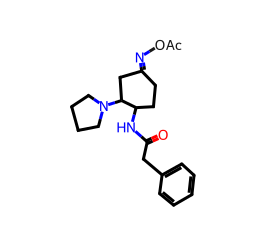 CC(=O)O/N=C1\CCC(NC(=O)Cc2ccccc2)C(N2CCCC2)C1